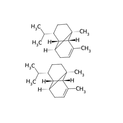 CC1=CC[C@H]2[C@H]3[C@@H]1[C@]2(C)CC[C@H]3C(C)C.CC1=CC[C@H]2[C@H]3[C@@H]1[C@]2(C)CC[C@H]3C(C)C